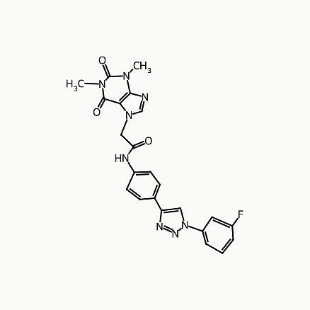 Cn1c(=O)c2c(ncn2CC(=O)Nc2ccc(-c3cn(-c4cccc(F)c4)nn3)cc2)n(C)c1=O